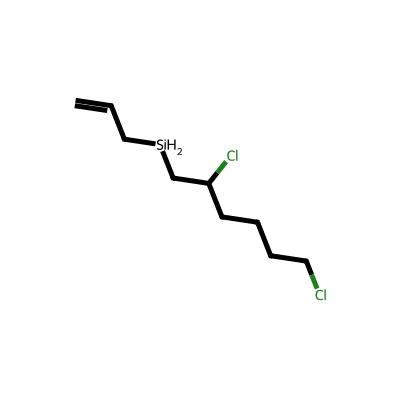 C=CC[SiH2]CC(Cl)CCCCCl